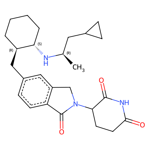 C[C@H](CC1CC1)N[C@H]1CCCC[C@@H]1Cc1ccc2c(c1)CN(C1CCC(=O)NC1=O)C2=O